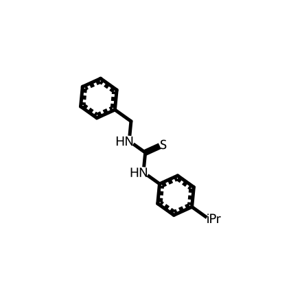 CC(C)c1ccc(NC(=S)NCc2ccccc2)cc1